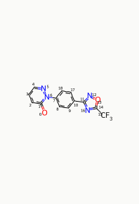 O=c1cccnn1-c1ccc(-c2noc(C(F)(F)F)n2)cc1